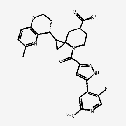 COc1cc(-c2cc(C(=O)N3CCC(C(N)=O)CC34C[C@H]4[C@H]3CCOc4ccc(C)nc43)n[nH]2)c(F)cn1